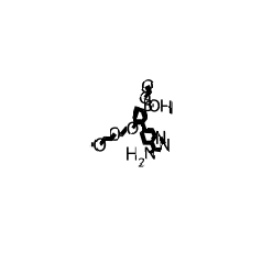 COCCOCCOc1ccc(B(O)OC=O)cc1-c1ccc2c(N)cnnc2c1